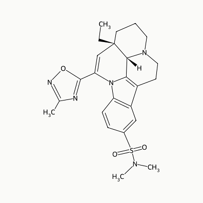 CC[C@@]12C=C(c3nc(C)no3)n3c4c(c5cc(S(=O)(=O)N(C)C)ccc53)CCN(CCC1)[C@H]42